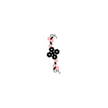 C=CC(=O)OCCOc1ccc(C(c2ccccc2)(c2ccccc2)c2ccc(OCCOC(=O)C=C)cc2)cc1